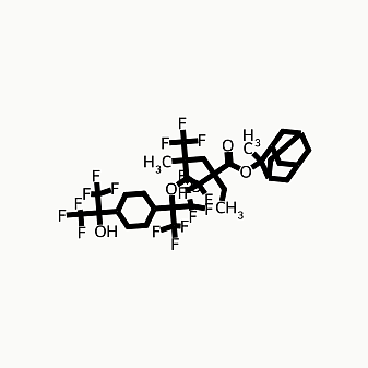 CCC(CC(C)(C(=O)OC(C1CCC(C(O)(C(F)(F)F)C(F)(F)F)CC1)(C(F)(F)F)C(F)(F)F)C(F)(F)F)(C(=O)OC1(C)C2CC3CC(C2)CC1C3)C(F)(F)F